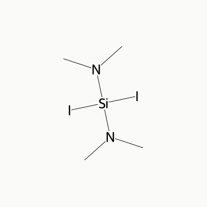 CN(C)[Si](I)(I)N(C)C